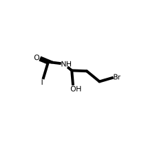 O=C(I)NC(O)CCBr